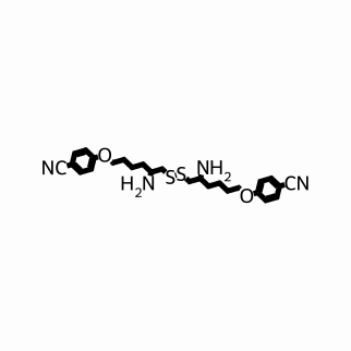 N#Cc1ccc(OCCCCC(N)CSSCC(N)CCCCOc2ccc(C#N)cc2)cc1